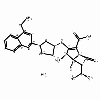 C[C@@H](O)[C@H]1C(=O)N2C(C(=O)O)=C(S[C@@H]3CN[C@@H](c4cc(CN)c5ccccc5c4)C3)[C@H](C)[C@H]12.Cl